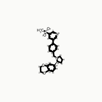 CS(=O)(=O)c1cncc(-c2ccc(CN3CCC[C@H]3c3ccc4c(c3)OCCO4)cc2)c1